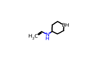 C=CNC1CCBCC1